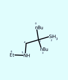 CCCCC([SiH3])(CCCC)CNCC